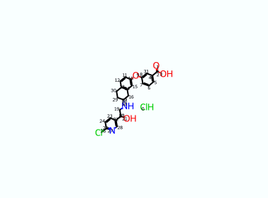 Cl.O=C(O)c1cccc(Oc2ccc3c(c2)C[C@@H](NC[C@@H](O)c2ccc(Cl)nc2)CC3)c1